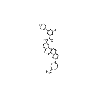 CN1CCCN(c2ccc3ncn(-c4cc(NC(=O)c5cc(F)cc(N6CCOCC6)c5)ccc4F)c(=O)c3c2)CC1